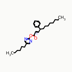 CCCCCCCCC(/C=C/C(=O)Oc1ncc(CCCCCC)cn1)c1ccccc1